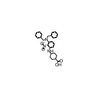 O=C(O)C1CCC(Nc2cccc(N(Cc3ccccc3)Cc3ccccc3)c2[N+](=O)[O-])CC1